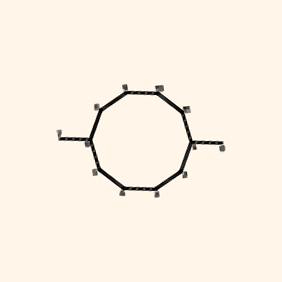 CC1CCCCC(C)CCCC1